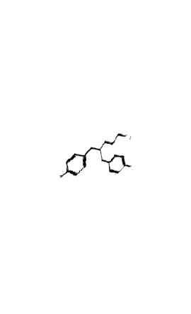 NCCCC(Cc1ccc(Cl)cc1)Cc1ccc(Cl)cc1